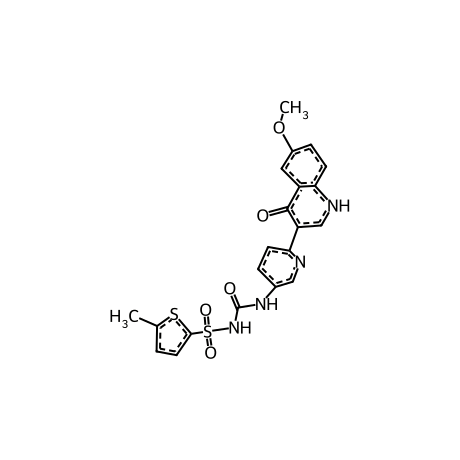 COc1ccc2[nH]cc(-c3ccc(NC(=O)NS(=O)(=O)c4ccc(C)s4)cn3)c(=O)c2c1